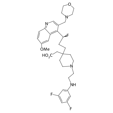 COc1ccc2ncc(CN3CCOCC3)c([C@@H](F)CCC3(CC(=O)O)CCN(CCNc4cc(F)cc(F)c4)CC3)c2c1